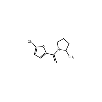 CC1CCCN1C(=O)c1ccc(N=O)o1